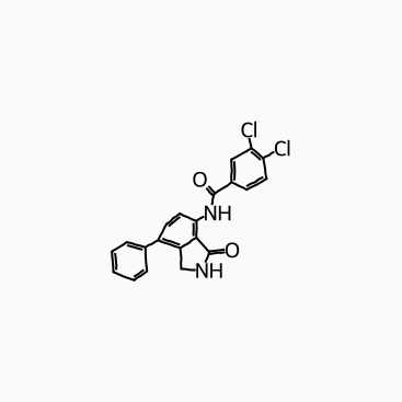 O=C(Nc1ccc(-c2ccccc2)c2c1C(=O)NC2)c1ccc(Cl)c(Cl)c1